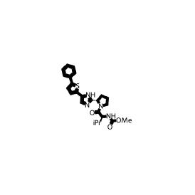 COC(=O)N[C@H](C(=O)N1CCC[C@H]1c1ncc(-c2ccc(-c3ccccc3)s2)[nH]1)C(C)C